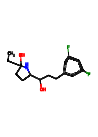 CCC1(O)CCC(C(O)CCc2cc(F)cc(F)c2)N1